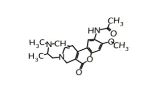 COc1cc2oc(=O)c3c(c2cc1NC(C)=O)CCN(CC(C)N(C)C)C3